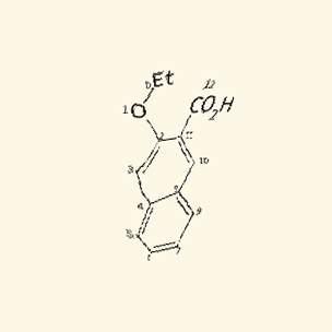 CCOc1cc2ccccc2cc1C(=O)O